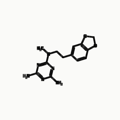 CN(CCc1ccc2c(c1)OCO2)c1nc(N)nc(N)n1